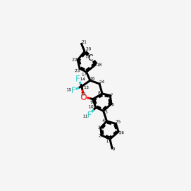 Cc1ccc(-c2ccc3c(c2F)OC(F)(F)C(c2ccc(C)cc2)C3)cc1